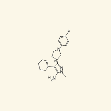 Cn1nc([C@H]2CCN(c3ccc(F)cc3)C2)c(C2=CCCCC2)c1N